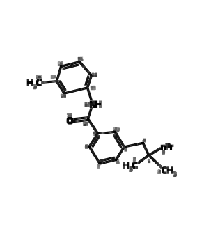 CCCC(C)(C)Cc1cccc(C(=O)Nc2cccc(C)c2)c1